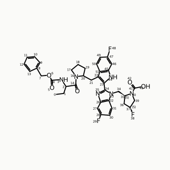 CCC(NC(=O)OCc1ccccc1)C(=O)N1CCCC1Cc1c(-c2nc3cc(F)ccc3n2C[C@@H]2C[C@H](F)CN2C(=O)O)[nH]c2cc(F)ccc12